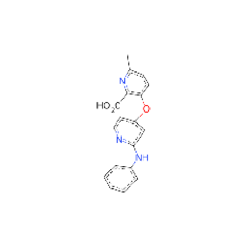 Cc1ccc(Oc2ccnc(Nc3ccccc3)c2)c(C(=O)O)n1